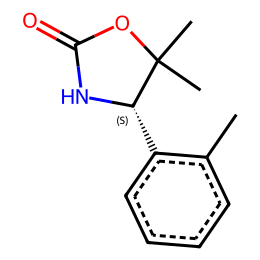 Cc1ccccc1[C@@H]1NC(=O)OC1(C)C